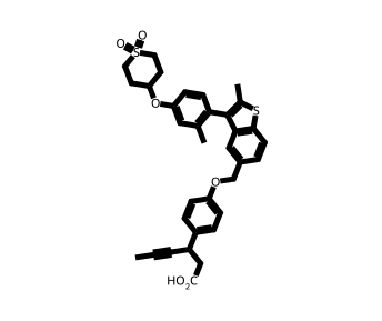 CC#CC(CC(=O)O)c1ccc(OCc2ccc3sc(C)c(-c4ccc(OC5CCS(=O)(=O)CC5)cc4C)c3c2)cc1